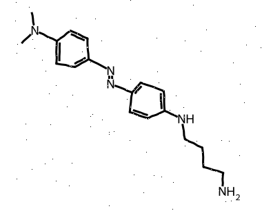 CN(C)c1ccc(/N=N/c2ccc(NCCCCN)cc2)cc1